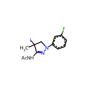 CC(=O)NC1=NN(c2cccc(F)c2)CC1(C)I